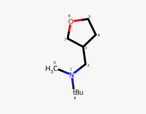 CN(CC1CCOC1)C(C)(C)C